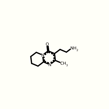 Cc1nc2n(c(=O)c1CCN)CCCC2